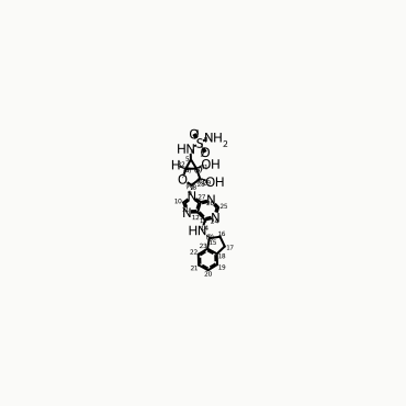 NS(=O)(=O)NC1[C@H]2O[C@@H](n3cnc4c(N[C@@H]5CCc6ccccc65)ncnc43)[C@H](O)[C@@]12O